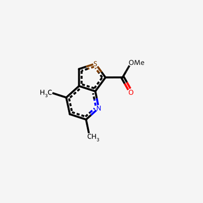 COC(=O)c1scc2c(C)cc(C)nc12